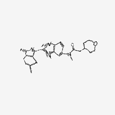 CC1CCc2[nH]nc(-c3nc4cc(N(C)C(=O)CC5CCOCC5)ccc4[nH]3)c2C1